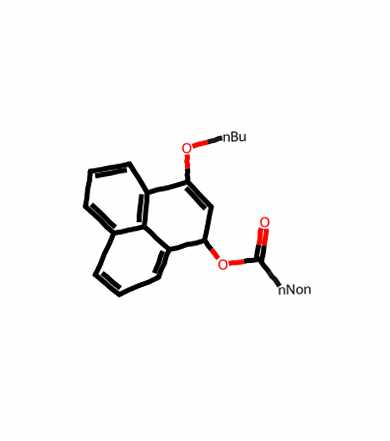 CCCCCCCCCC(=O)OC1C=C(OCCCC)c2cccc3cccc1c23